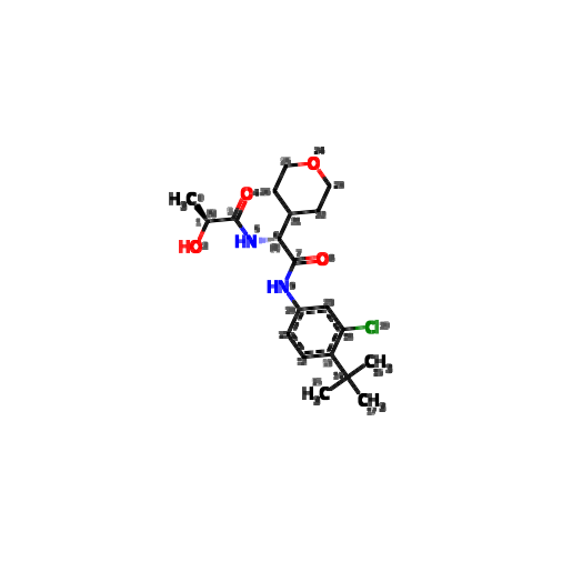 C[C@H](O)C(=O)N[C@@H](C(=O)Nc1ccc(C(C)(C)C)c(Cl)c1)C1CCOCC1